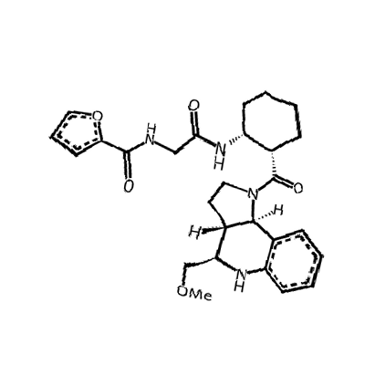 COC[C@@H]1Nc2ccccc2[C@H]2[C@H]1CCN2C(=O)[C@H]1CCCC[C@H]1NC(=O)CNC(=O)c1ccco1